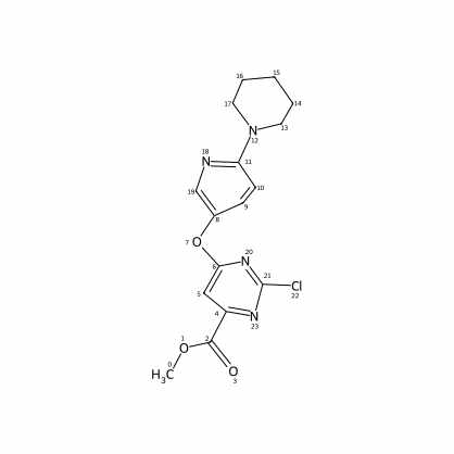 COC(=O)c1cc(Oc2ccc(N3CCCCC3)nc2)nc(Cl)n1